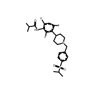 CC(C)C(=O)Nc1c(F)cc(F)c(C2CCN(Cc3ccc(S(=O)(=O)C(C)C)cc3)CC2)c1F